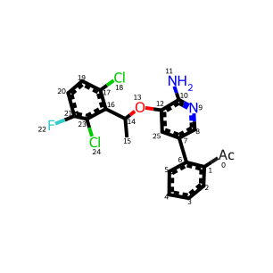 CC(=O)c1ccccc1-c1cnc(N)c(OC(C)c2c(Cl)ccc(F)c2Cl)c1